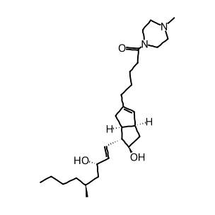 CCCC[C@H](C)C[C@H](O)/C=C/[C@@H]1[C@H]2CC(CCCCC(=O)N3CCN(C)CC3)=C[C@H]2C[C@H]1O